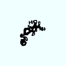 [NH]C(=O)c1nc(Cl)c2c(sc3ccc(S(=O)(=O)c4ccccc4)cc32)c1O